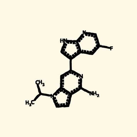 CC(C)n1ccc2c(N)nc(-c3c[nH]c4ncc(F)cc34)cc21